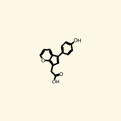 O=C(O)Cc1cc(-c2ccc(O)cc2)c2cccoc1-2